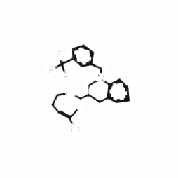 FC(F)(F)c1cccc(CN2C[C@H]([C@@H]3CC(Br)=CCCO3)Cc3ccccc32)c1